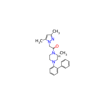 Cc1cc(C)n(CC(=O)N2CCN(c3ccccc3-c3ccccc3)C[C@H]2C)n1